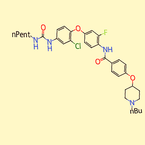 CCCCCNC(=O)Nc1ccc(Oc2ccc(NC(=O)c3ccc(OC4CCN(CCCC)CC4)cc3)c(F)c2)c(Cl)c1